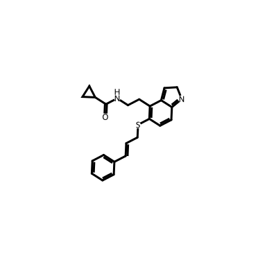 O=C(NCCc1c(SCC=Cc2ccccc2)ccc2c1=CCN=2)C1CC1